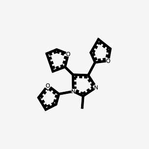 Cc1nc(-c2ccco2)c(-c2ccco2)n1-c1ccco1